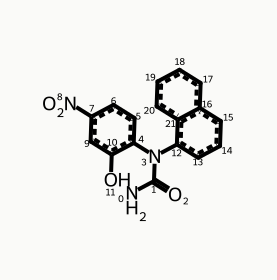 NC(=O)N(c1ccc([N+](=O)[O-])cc1O)c1cccc2ccccc12